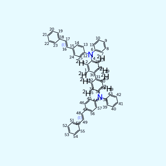 [2H]c1c([2H])c(N(c2ccccc2)c2ccc(/C=C/c3ccccc3)cc2)c([2H])c([2H])c1-c1c([2H])c([2H])c(N(c2ccccc2)c2ccc(/C=C/c3ccccc3)cc2)c([2H])c1[2H]